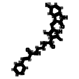 Cc1[nH]c(C=C2C(=O)Nc3ccc(F)cc32)c(C)c1C(=O)NCCNC(=O)/C=C/c1cccnc1